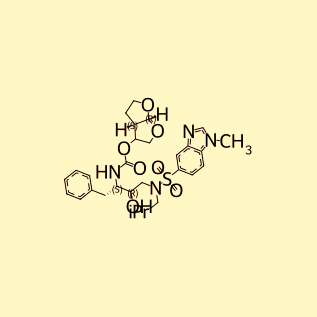 CC(C)CN(C[C@@H](O)[C@H](Cc1ccccc1)NC(=O)OC1CO[C@H]2OCC[C@@H]12)S(=O)(=O)c1ccc2c(c1)ncn2C